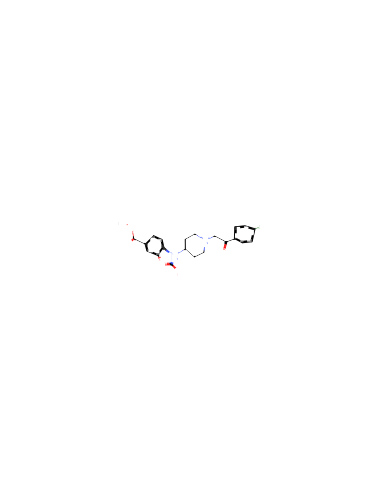 COC(=O)c1ccc2c(c1)oc(=O)n2C1CCN(CC(=O)c2ccc(Cl)cc2)CC1